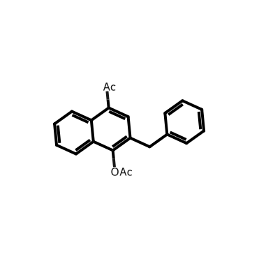 CC(=O)Oc1c(Cc2ccccc2)cc(C(C)=O)c2ccccc12